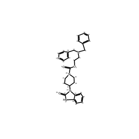 O=C(OCCN(Cc1ccccc1)Cc1ccncc1)N1CCC(n2c(=O)[nH]c3ccccc32)CC1